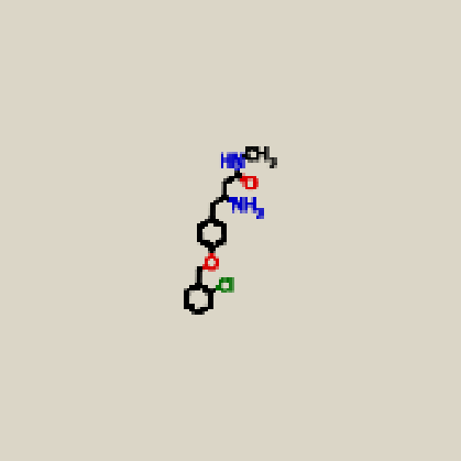 CNC(=O)CC(N)Cc1ccc(OCc2ccccc2Cl)cc1